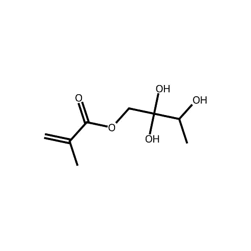 C=C(C)C(=O)OCC(O)(O)C(C)O